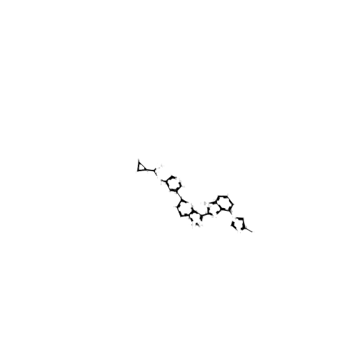 Cc1cn(-c2cccc3[nH]c(-c4n[nH]c5ccc(-c6cncc(NC(O)C7CC7)c6)nc45)nc23)cn1